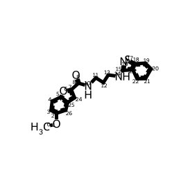 COc1ccc2oc(C(=O)NCCCNc3nsc4ccccc34)cc2c1